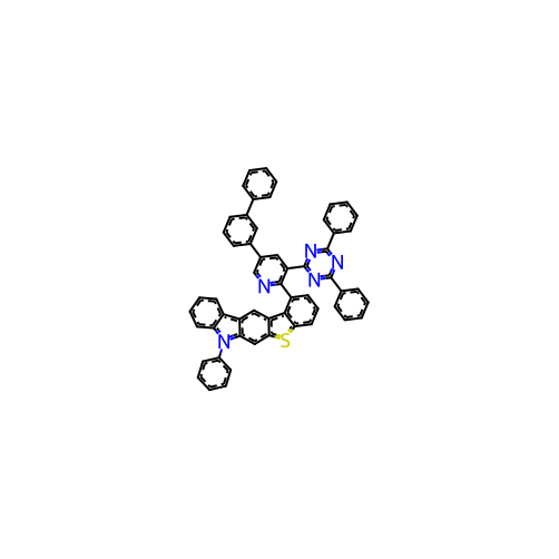 c1ccc(-c2cccc(-c3cnc(-c4cccc5sc6cc7c(cc6c45)c4ccccc4n7-c4ccccc4)c(-c4nc(-c5ccccc5)nc(-c5ccccc5)n4)c3)c2)cc1